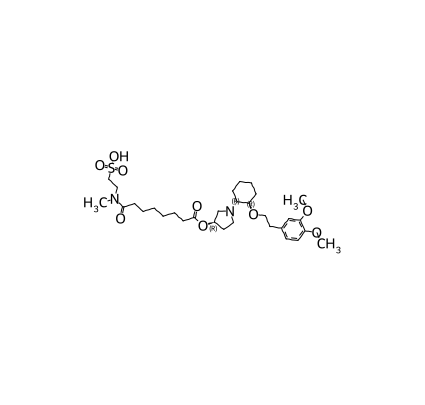 COc1ccc(CCO[C@@H]2CCCC[C@H]2N2CC[C@@H](OC(=O)CCCCCCC(=O)N(C)CCS(=O)(=O)O)C2)cc1OC